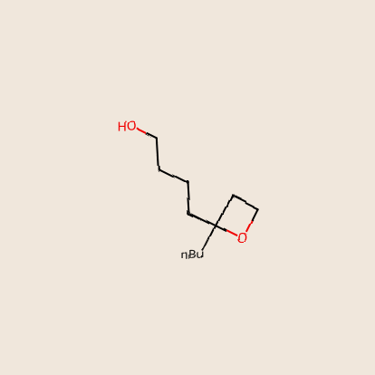 CCCCC1(CCCCO)CCO1